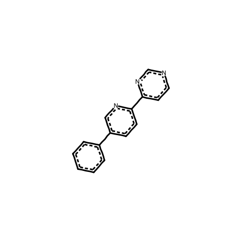 c1ccc(-c2ccc(-c3ccncn3)nc2)cc1